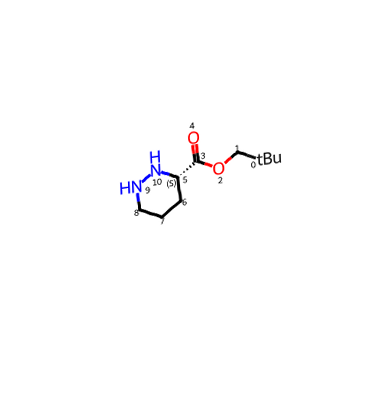 CC(C)(C)COC(=O)[C@@H]1CCCNN1